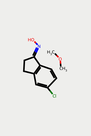 COC.ON=C1CCc2cc(Cl)ccc21